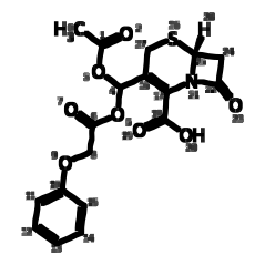 CC(=O)OC(OC(=O)COc1ccccc1)C1=C(C(=O)O)N2C(=O)C[C@H]2SC1